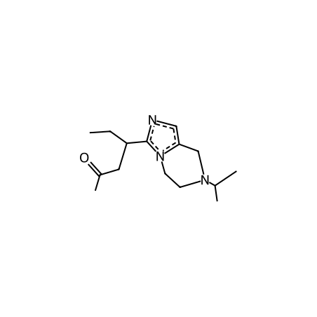 CCC(CC(C)=O)c1ncc2n1CCN(C(C)C)C2